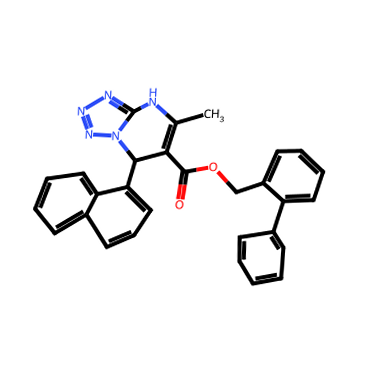 CC1=C(C(=O)OCc2ccccc2-c2ccccc2)C(c2cccc3ccccc23)n2nnnc2N1